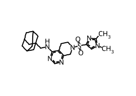 Cc1nc(S(=O)(=O)N2CCc3c(ncnc3NCC34CC5CC(CC(C5)C3)C4)C2)cn1C